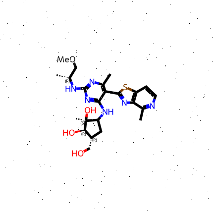 COC[C@@H](C)Nc1nc(C)c(-c2nc3c(C)nccc3s2)c(NC2C[C@H](CO)[C@@H](O)[C@@]2(C)O)n1